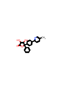 Cc1ccc(-c2ccc(C3(c4ccccc4)OC(=O)C(O)=C3O)cc2)nc1